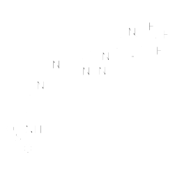 CS(=O)(=O)Nc1cccc(N2CCN(Cc3cn(-c4ccc(C(F)(F)F)nc4)nn3)CC2)c1